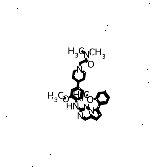 COc1cc(C2CCN(CC(=O)N(C)C)CC2)ccc1Nc1ncc2ccc(-c3ccccc3OC)n2n1